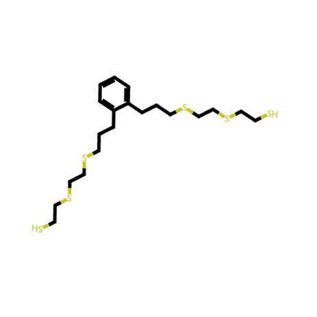 SCCSCCSCCCc1ccccc1CCCSCCSCCS